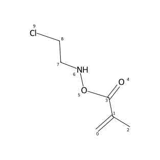 C=C(C)C(=O)ONCCCl